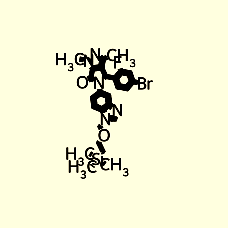 Cc1nn(C)c2c1C(c1ccc(Br)cc1F)N(c1ccc3c(c1)ncn3COCC[Si](C)(C)C)C2=O